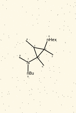 CCCCCCC1(C)C(C)C1(C)N(C)CCCC